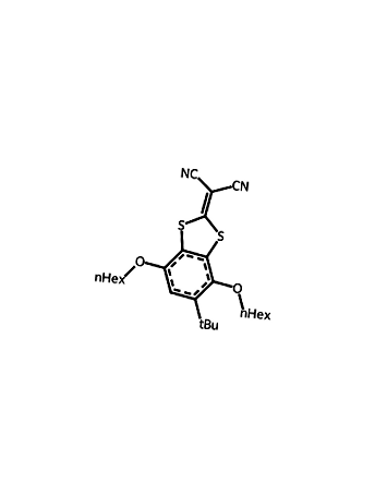 CCCCCCOc1cc(C(C)(C)C)c(OCCCCCC)c2c1SC(=C(C#N)C#N)S2